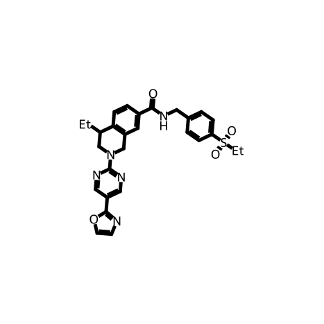 CCC1CN(c2ncc(-c3ncco3)cn2)Cc2cc(C(=O)NCc3ccc(S(=O)(=O)CC)cc3)ccc21